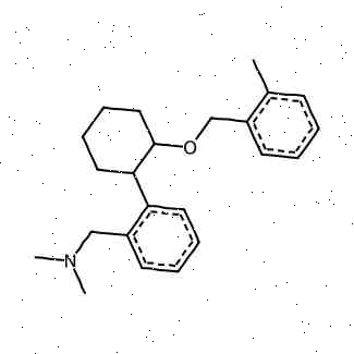 Cc1ccccc1COC1CCCCC1c1ccccc1CN(C)C